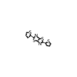 c1csc(-c2nc3sc(-c4cccs4)nc3s2)c1